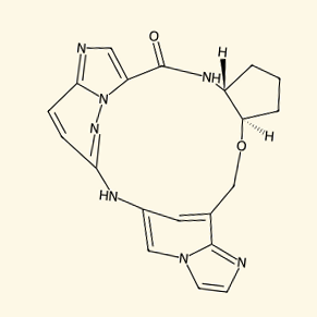 O=C1N[C@@H]2CCC[C@H]2OCc2cc(cn3ccnc23)Nc2ccc3ncc1n3n2